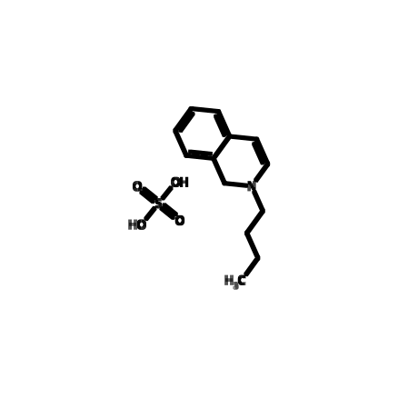 CCCCN1C=Cc2ccccc2C1.O=S(=O)(O)O